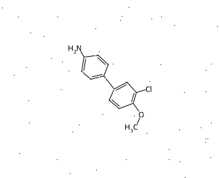 COc1ccc(-c2ccc(N)cc2)cc1Cl